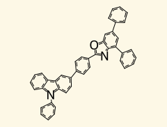 c1ccc(-c2cc(-c3ccccc3)c3nc(-c4ccc(-c5ccc6c(c5)c5ccccc5n6-c5ccccc5)cc4)oc3c2)cc1